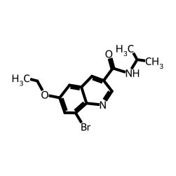 CCOc1cc(Br)c2ncc(C(=O)NC(C)C)cc2c1